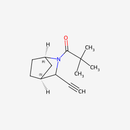 C#CC1[C@H]2CC[C@H](C2)N1C(=O)C(C)(C)C